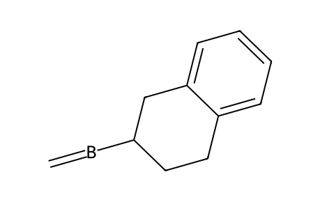 C=BC1CCc2ccccc2C1